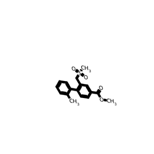 COC(=O)c1ccc(-c2ccccc2C)c(CS(C)(=O)=O)c1